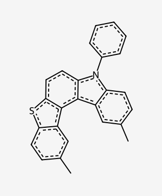 Cc1ccc2sc3ccc4c(c5cc(C)ccc5n4-c4ccccc4)c3c2c1